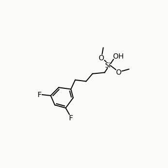 CO[Si](O)(CCCCc1cc(F)cc(F)c1)OC